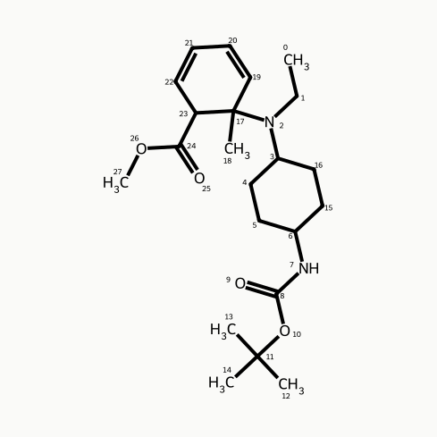 CCN(C1CCC(NC(=O)OC(C)(C)C)CC1)C1(C)C=CC=CC1C(=O)OC